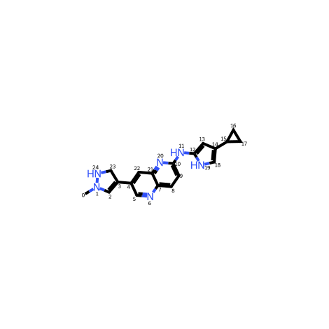 CN1C=C(c2cnc3ccc(Nc4cc(C5CC5)c[nH]4)nc3c2)CN1